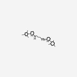 Cc1cc(C)c(-c2cccc(NCCCCCNc3cccc(-c4c(C)cc(C)cc4C)n3)n2)c(C)c1